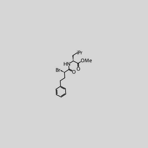 COC(=O)[C@H](CC(C)C)NC(=O)[C@H](Br)CCc1ccccc1